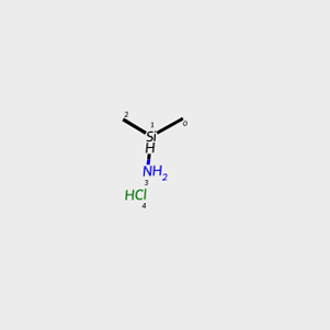 C[SiH](C)N.Cl